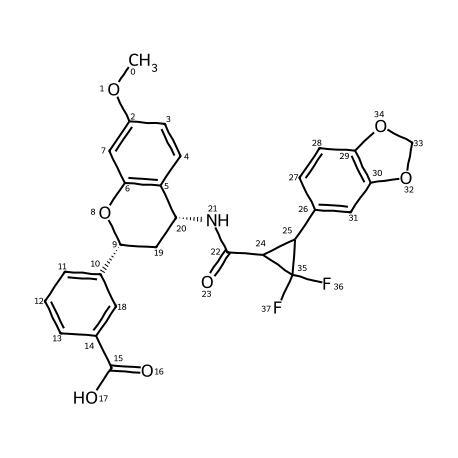 COc1ccc2c(c1)O[C@@H](c1cccc(C(=O)O)c1)C[C@H]2NC(=O)C1C(c2ccc3c(c2)OCO3)C1(F)F